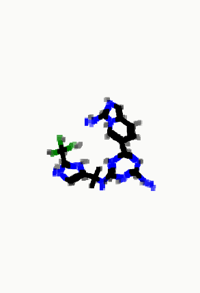 CC(C)(Nc1nc(N)nc(-c2ccc3cnc(N)n3c2)n1)c1c[nH]c(C(F)(F)F)n1